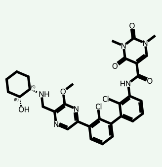 COc1nc(-c2cccc(-c3cccc(NC(=O)c4cn(C)c(=O)n(C)c4=O)c3Cl)c2Cl)cnc1CN[C@H]1CCCC[C@H]1O